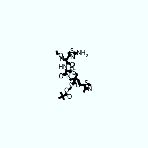 CCON=C(C(=O)NC1C(=O)N2CC(C=Cc3scnc3C)(C(=O)OCOC(=O)C(C)(C)C)CS[C@H]12)c1csc(N)n1